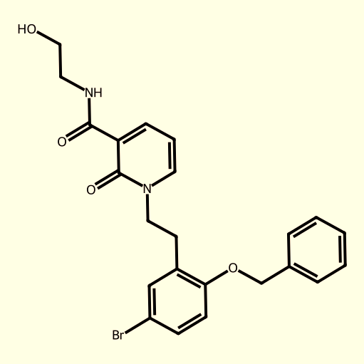 O=C(NCCO)c1cccn(CCc2cc(Br)ccc2OCc2ccccc2)c1=O